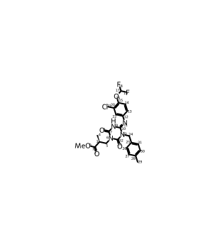 COC(=O)[C@@H](C)Cn1c(=O)[nH]/c(=N\c2ccc(OC(F)F)c(Cl)c2)n(Cc2ccc(C)cc2)c1=O